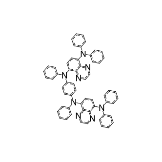 c1ccc(N(c2ccccc2)c2ccc(N(c3ccccc3)c3ccc(N(c4ccccc4)c4ccc(N(c5ccccc5)c5ccccc5)c5nccnc45)cc3)c3nccnc23)cc1